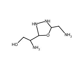 NCC1NNC(C(N)CO)O1